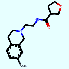 CSc1ccc2c(c1)CN(CCNC(=O)C1CCOC1)CC2